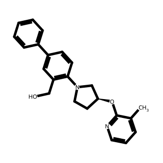 Cc1cccnc1O[C@H]1CCN(c2ccc(-c3ccccc3)cc2CO)C1